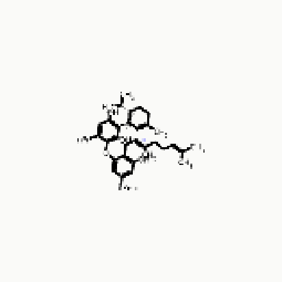 C=C(C)[C@@H]1CCC(C)=C[C@H]1c1c(O)cc(CCC)c(Oc2cc(CCCCC)cc(O)c2C/C=C(\C)CCC=C(C)C)c1O